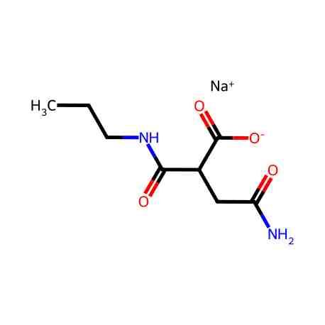 CCCNC(=O)C(CC(N)=O)C(=O)[O-].[Na+]